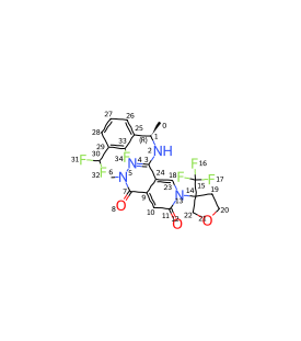 C[C@@H](Nc1nn(C)c(=O)c2cc(=O)n(C3(C(F)(F)F)CCOC3)cc12)c1cccc(C(F)F)c1F